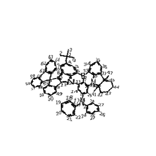 CC(C)(C)c1cc2c3c(c1)c1c(n3-c3cc(N(c4ccccc4)c4ccccc4)cc4c3B2c2cccc3c2N4C2(C)CCCCC32C)-c2ccccc2C12c1ccccc1-c1ccccc12